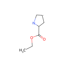 CCOC(=O)C1C[CH]C[N]1